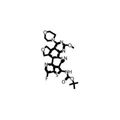 COc1nc(N2CCOCC2)c2c3c(c(-c4ncc(F)c5sc(NC(=O)OC(C)(C)C)c(C#N)c45)c(F)c2n1)COC3